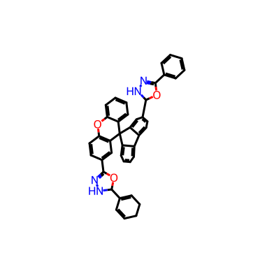 C1=CC(C2NN=C(c3ccc4c(c3)C3(c5ccccc5O4)c4ccccc4-c4ccc(C5NN=C(c6ccccc6)O5)cc43)O2)=CCC1